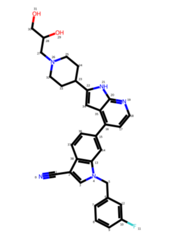 N#Cc1cn(Cc2cccc(F)c2)c2cc(-c3ccnc4[nH]c(C5CCN(CC(O)CO)CC5)cc34)ccc12